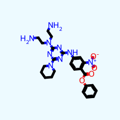 NCCN(CCN)c1nc(Nc2ccc(C(=O)Oc3ccccc3)c([N+](=O)[O-])c2)nc(N2CCCCC2)n1